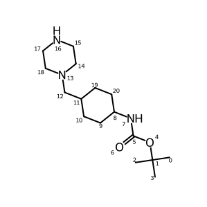 CC(C)(C)OC(=O)NC1CCC(CN2CCNCC2)CC1